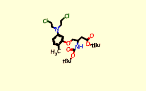 Cc1ccc(N(CCCl)CCCl)cc1OCC(CC(=O)OC(C)(C)C)NC(=O)OC(C)(C)C